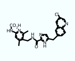 Cc1cc(NC(=O)O)nc(C)c1CNC(=O)c1ncc(Cc2ccc3ncc(Cl)cc3c2)[nH]1